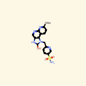 COc1ccc2c3c(cnc2n1)NC(O)N3Cc1ccc(S(N)(=O)=O)cn1